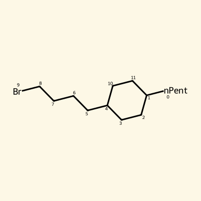 CCCCCC1CCC(CCCCBr)CC1